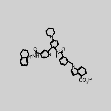 O=C(Nc1ccc(N2CCCCC2)cc1-c1cc(C(=O)N[C@H]2CCCc3ccccc32)ccn1)c1cccc(Cn2ccc3c(C(=O)O)cccc32)c1